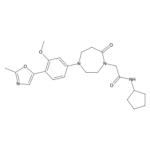 COc1cc(N2CCC(=O)N(CC(=O)NC3CCCC3)CC2)ccc1-c1cnc(C)o1